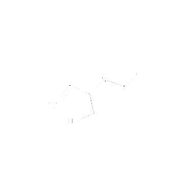 C=CC(CO)NCC(F)(F)F